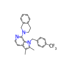 Cc1c(C)n(Cc2ccc(C(F)(F)F)cc2)c2c(N3CCc4ccccc4C3)nccc12